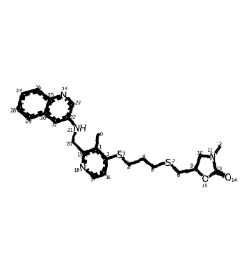 Cc1c(SCCCSCC2CN(C)C(=O)O2)ccnc1CNc1cnc2ccccc2c1